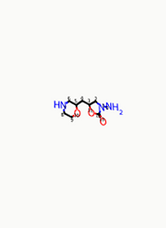 NN1CC(CC2CNCCO2)OC1=O